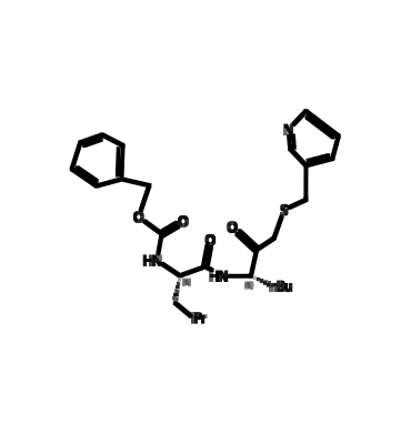 CCCC[C@H](NC(=O)[C@H](CC(C)C)NC(=O)OCc1ccccc1)C(=O)CSCc1cccnc1